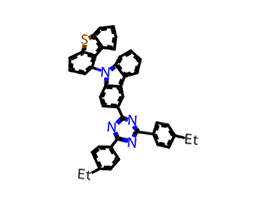 CCc1ccc(-c2nc(-c3ccc(CC)cc3)nc(-c3ccc4c(c3)c3ccccc3n4-c3cccc4sc5ccccc5c34)n2)cc1